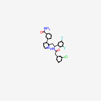 NC(=O)c1cccc(-c2cccnc2CC(NC(=O)Cc2cccc(Cl)c2)c2cc(F)cc(F)c2)c1